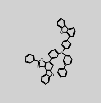 c1ccc(-c2cccc(N(c3ccc(-c4cccc5c4oc4ccccc45)cc3)c3cccc(-c4cc5oc6ccccc6c5c5nc(-c6ccccc6)oc45)c3)c2)cc1